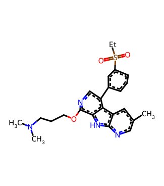 CCS(=O)(=O)c1cccc(-c2cnc(OCCCN(C)C)c3[nH]c4ncc(C)cc4c23)c1